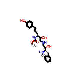 CC(C)(C)OC(=O)N[C@@H](CC=Cc1ccc(O)cc1)C(O)CNC[C@@H](O)[C@H](Cc1ccccc1)NC(=O)O